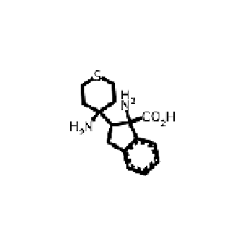 NC1(C2Cc3ccccc3C2(N)C(=O)O)CCSCC1